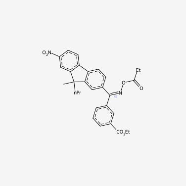 CCCC1(C)c2cc(/C(=N\OC(=O)CC)c3cccc(C(=O)OCC)c3)ccc2-c2ccc([N+](=O)[O-])cc21